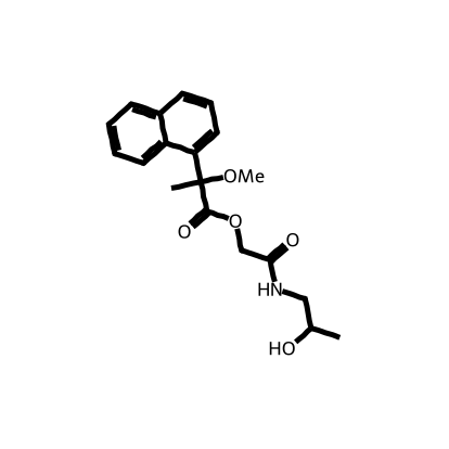 COC(C)(C(=O)OCC(=O)NCC(C)O)c1cccc2ccccc12